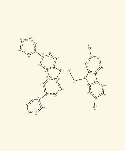 Brc1ccc2c(c1)C(CCC1c3ccc(-c4ccccc4)cc3-c3cc(-c4ccccc4)ccc31)c1cc(Br)ccc1-2